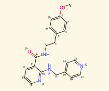 COc1ccc(CCNC(=O)c2cccnc2NCc2ccncc2)cc1